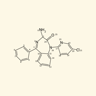 NC1N=C(c2ccccc2)c2ccccc2N(c2ccc(Cl)cn2)C1=O